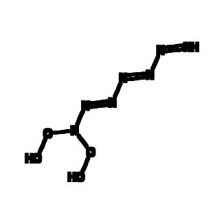 N=N/N=N/N=N/N(OO)OO